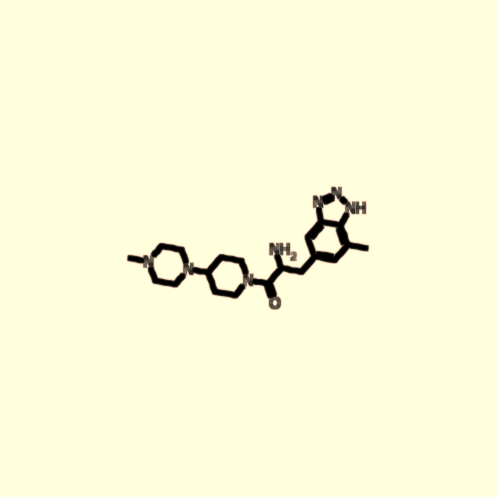 Cc1cc(CC(N)C(=O)N2CCC(N3CCN(C)CC3)CC2)cc2nn[nH]c12